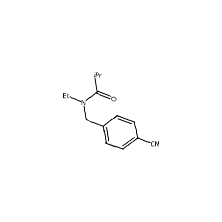 CCN(Cc1ccc(C#N)cc1)C(=O)C(C)C